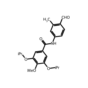 COc1c(OC(C)C)cc(C(=O)Nc2ccc(C=O)c(C)c2)cc1OC(C)C